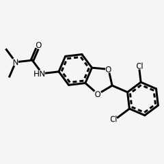 CN(C)C(=O)Nc1ccc2c(c1)OC(c1c(Cl)cccc1Cl)O2